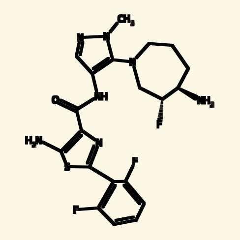 Cn1ncc(NC(=O)c2nc(-c3c(F)cccc3F)sc2N)c1N1CCC[C@@H](N)[C@H](F)C1